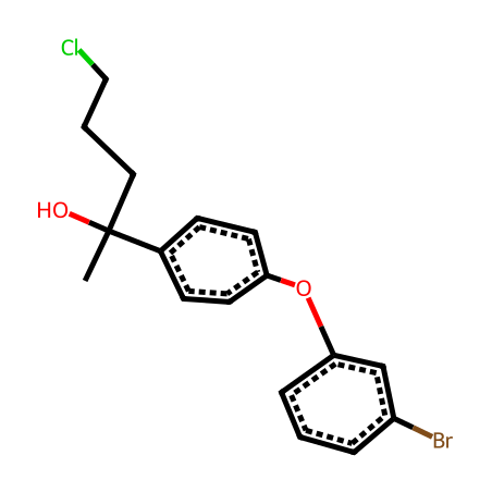 CC(O)(CCCCl)c1ccc(Oc2cccc(Br)c2)cc1